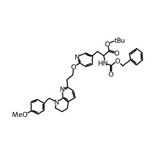 COc1ccc(CN2CCCc3ccc(CCOc4ccc(CC(NC(=O)OCc5ccccc5)C(=O)OC(C)(C)C)cn4)nc32)cc1